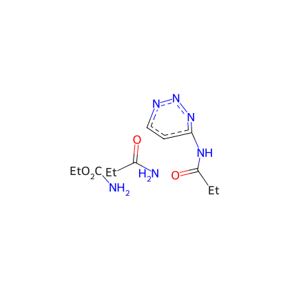 CCC(=O)Nc1ccnnn1.CCC(N)=O.CCOC(N)=O